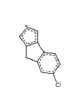 Clc1ccc2c(c1)Cc1cscc1-2